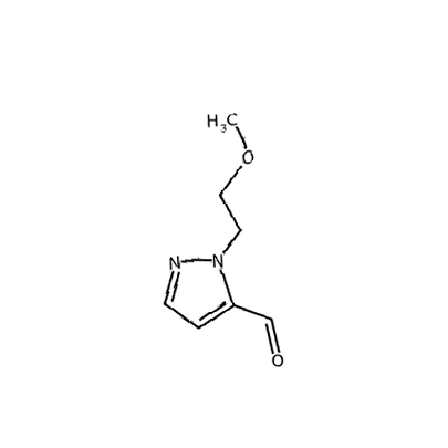 COCCn1nccc1C=O